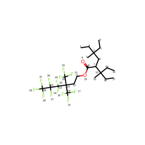 CCC(C)(CC)CC(C(=O)OCCC(C(F)(F)F)(C(F)(F)F)C(F)(F)C(F)(F)C(F)(F)F)C(C)(CC)CC